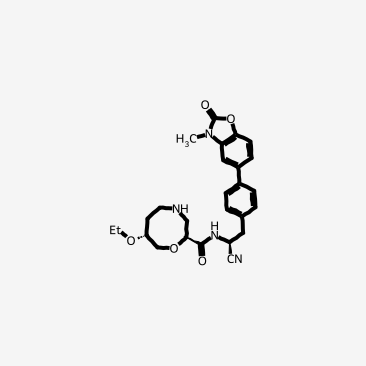 CCO[C@@H]1CCNC[C@@H](C(=O)N[C@H](C#N)Cc2ccc(-c3ccc4oc(=O)n(C)c4c3)cc2)OC1